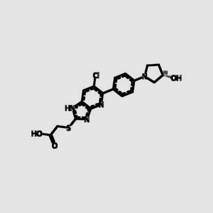 O=C(O)CSc1nc2nc(-c3ccc(N4CC[C@H](O)C4)cc3)c(Cl)cc2[nH]1